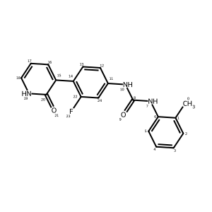 Cc1ccccc1NC(=O)Nc1ccc(-c2ccc[nH]c2=O)c(F)c1